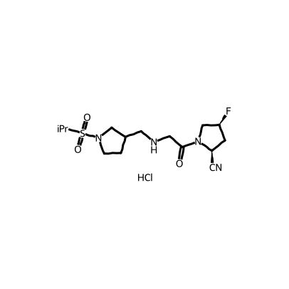 CC(C)S(=O)(=O)N1CCC(CNCC(=O)N2C[C@@H](F)C[C@H]2C#N)C1.Cl